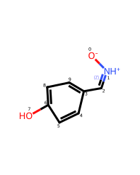 [O-]/[NH+]=C\c1ccc(O)cc1